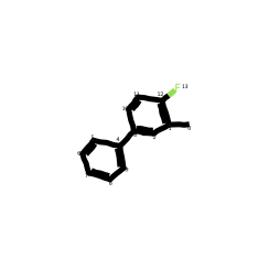 Cc1cc(-c2[c]cccc2)ccc1F